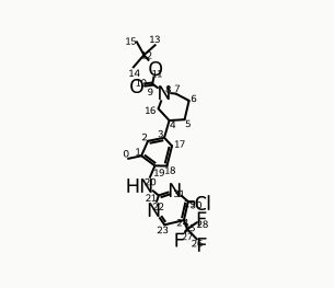 Cc1cc(C2CCCN(C(=O)OC(C)(C)C)C2)ccc1Nc1ncc(C(F)(F)F)c(Cl)n1